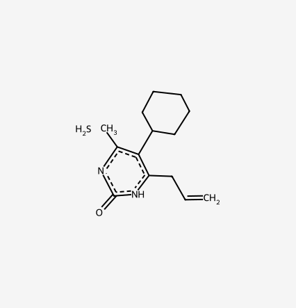 C=CCc1[nH]c(=O)nc(C)c1C1CCCCC1.S